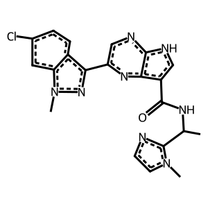 CC(NC(=O)c1c[nH]c2ncc(-c3nn(C)c4cc(Cl)ccc34)nc12)c1nccn1C